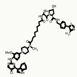 COc1cc(N2CCC(N(C)C(=O)CCCCCCCCC(=O)NC(C(=O)N3C[C@H](O)C[C@H]3C(=O)NCc3ccc(-c4scnc4C)cc3)C(C)(C)C)CC2)ccc1Nc1ncc(Cl)c(-c2c[nH]c3ccccc23)n1